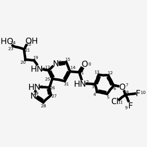 O=C(Nc1ccc(OC(F)(F)Cl)cc1)c1cnc(NCCC(O)CO)c(-c2ccn[nH]2)c1